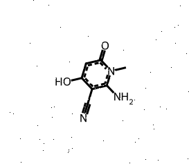 Cn1c(N)c(C#N)c(O)cc1=O